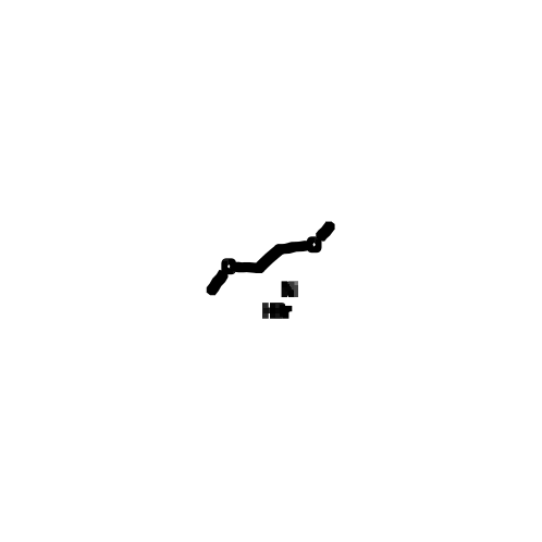 Br.COCCOC.[Ni]